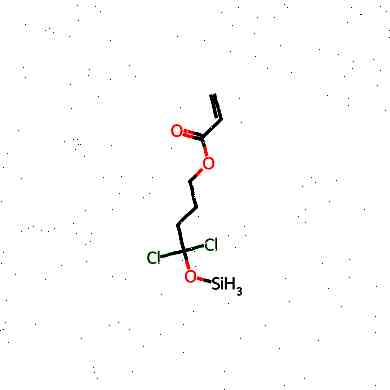 C=CC(=O)OCCCC(Cl)(Cl)O[SiH3]